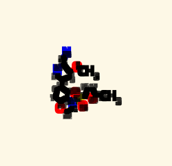 COc1cc(-c2ccc3c(c2)N(S(=O)(=O)c2ccc(C)o2)CCO3)cnc1C#N